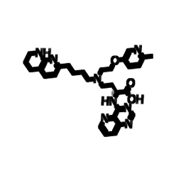 Cc1ccc(OCCN(CCCCc2ccc3c(n2)NCCC3)CC[C@H](Nc2ncnc3cccnc23)C(=O)O)cn1